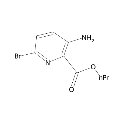 CCCOC(=O)c1nc(Br)ccc1N